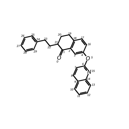 O=C1c2cc(Oc3ccc4ccccc4n3)ccc2CCC1CCc1ccccc1